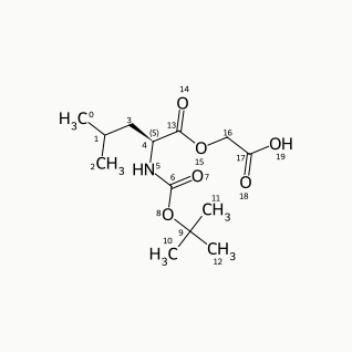 CC(C)C[C@H](NC(=O)OC(C)(C)C)C(=O)OCC(=O)O